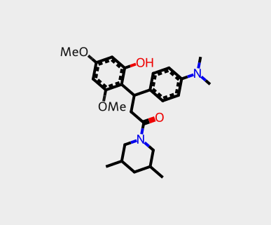 COc1cc(O)c(C(CC(=O)N2CC(C)CC(C)C2)c2ccc(N(C)C)cc2)c(OC)c1